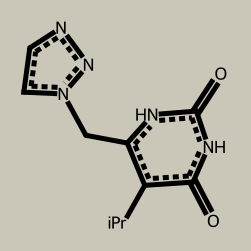 CC(C)c1c(Cn2ccnn2)[nH]c(=O)[nH]c1=O